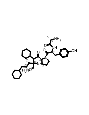 C[C@H](N)C(=O)N[C@@H](Cc1ccc(O)cc1)C(=O)N1CCC[C@H]1C(=O)C(C1CCCCC1)[C@](N)([C]=O)C(=O)[C@H](N)CC1CCCCC1